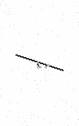 CCCCCCCCCCCCCCCCN(CCO)CCCCCC(=O)OCCCCCCCCCCC